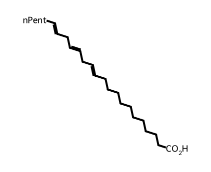 CCCCCC=CCC=CCC=CCCCCCCCCCCC(=O)O